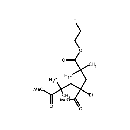 CCC(CC(C)(C)C(=O)OC)(CC(C)(C)C(=O)OCCF)C(=O)OC